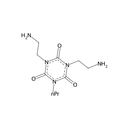 CCCn1c(=O)n(CCN)c(=O)n(CCN)c1=O